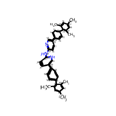 Cc1cc(C)c(-c2ccc(C3=CNC(Nc4ccc(-c5ccc(-c6c(C)cc(C)cc6C)cc5)cn4)C=C3)cc2)c(C)c1